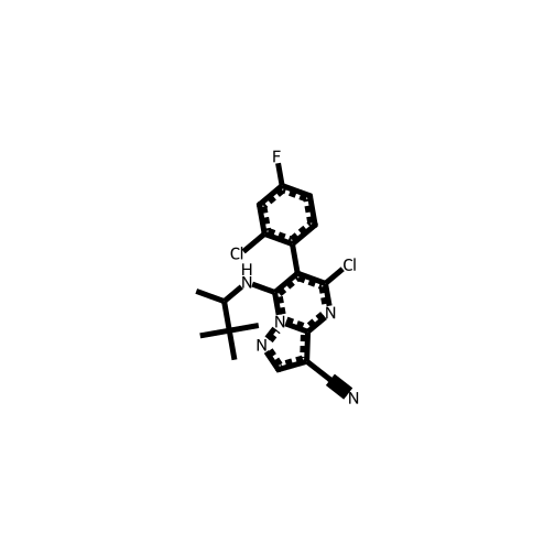 CC(Nc1c(-c2ccc(F)cc2Cl)c(Cl)nc2c(C#N)cnn12)C(C)(C)C